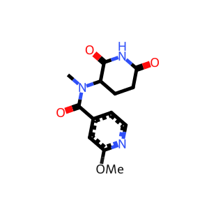 COc1cc(C(=O)N(C)C2CCC(=O)NC2=O)ccn1